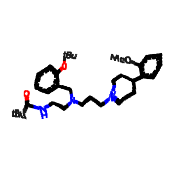 COc1ccccc1C1CCN(CCCN(CCNC(=O)C(C)(C)C)Cc2ccccc2OC(C)(C)C)CC1